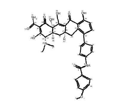 COc1ccc(C(=O)Nc2ccc(-c3ccc(O)c4c3C[C@H]3C[C@H]5[C@H](N(C)C)C(O)=C(C(N)=O)C(=O)[C@@]5(O)C(O)=C3C4=O)cc2)cc1